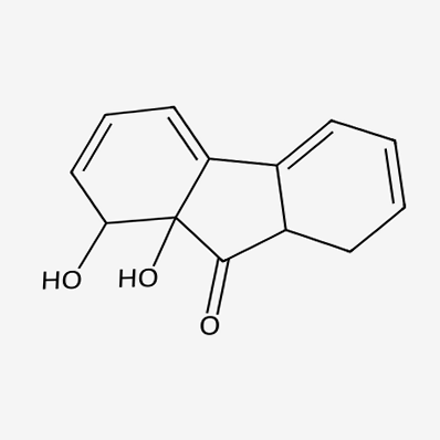 O=C1C2CC=CC=C2C2=CC=CC(O)C12O